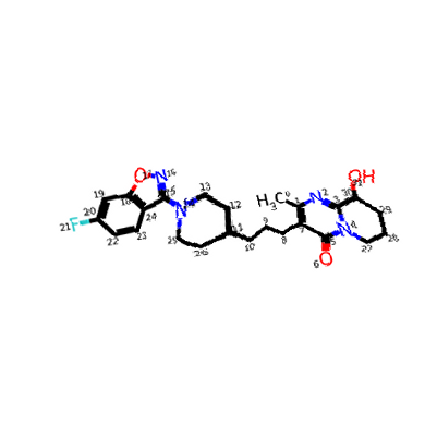 Cc1nc2n(c(=O)c1CCCC1CCN(c3noc4cc(F)ccc34)CC1)CCCC2O